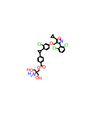 NC(CO)(CO)COC(=O)c1ccc(C2CC2c2ccc(OCc3c(-c4c(Cl)cccc4Cl)noc3C3CC3)cc2Cl)cc1